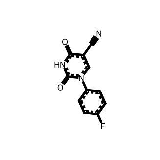 N#Cc1cn(-c2ccc(F)cc2)c(=O)[nH]c1=O